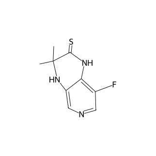 CC1(C)Nc2cncc(F)c2NC1=S